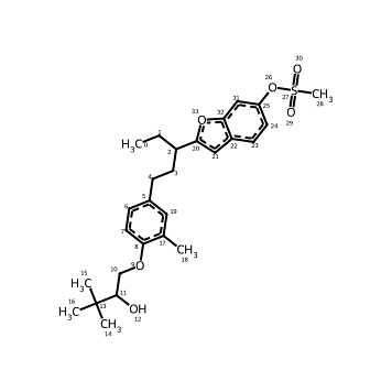 CCC(CCc1ccc(OCC(O)C(C)(C)C)c(C)c1)c1cc2ccc(OS(C)(=O)=O)cc2o1